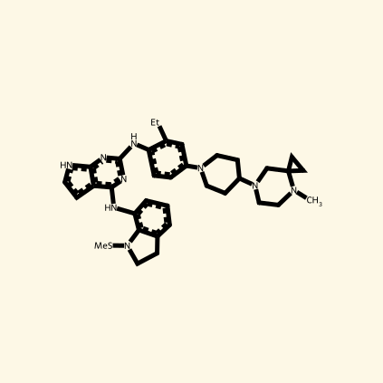 CCc1cc(N2CCC(N3CCN(C)C4(CC4)C3)CC2)ccc1Nc1nc(Nc2cccc3c2N(SC)CC3)c2cc[nH]c2n1